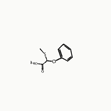 CSC(Oc1ccccc1)C(=O)O